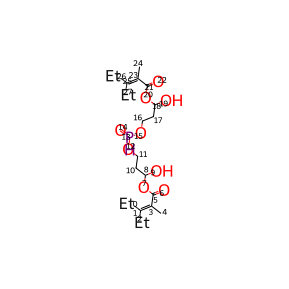 CCC(CC)=C(C)C(=O)OC(O)CCO[PH](=O)OCCC(O)OC(=O)C(C)=C(CC)CC